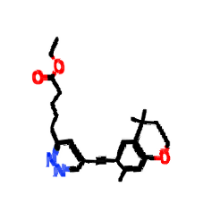 CCOC(=O)CCCCc1cc(C#Cc2cc3c(cc2C)OCCC3(C)C)cnn1